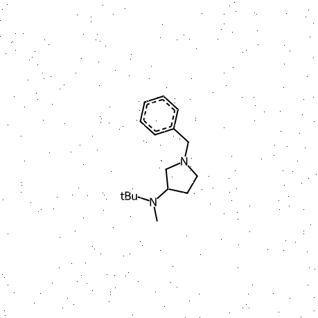 CN(C1CCN(Cc2ccccc2)C1)C(C)(C)C